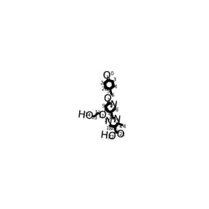 COc1ccc(COc2cc(OCCO)c(-c3ncc(C(=O)O)c(C)n3)cn2)cc1